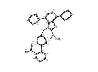 CC(C)c1nc2c(-c3ccccc3)nnc(-c3ccccc3)c2n1Cc1ccc(-c2ccccc2C(=O)O)cc1